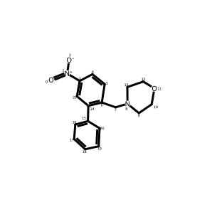 O=[N+]([O-])c1ccc(CN2CCOCC2)c(-c2ccccc2)c1